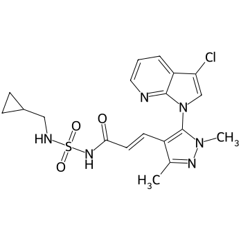 Cc1nn(C)c(-n2cc(Cl)c3cccnc32)c1C=CC(=O)NS(=O)(=O)NCC1CC1